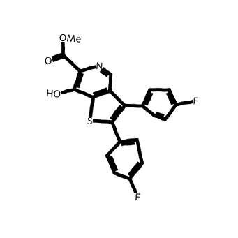 COC(=O)c1ncc2c(-c3ccc(F)cc3)c(-c3ccc(F)cc3)sc2c1O